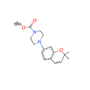 CC(C)(C)OC(=O)N1CCN(c2ccc3c(c2)OC(C)(C)C=C3)CC1